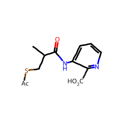 CC(=O)SCC(C)C(=O)Nc1cccnc1C(=O)O